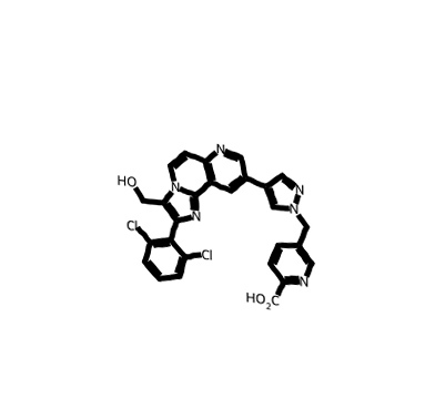 O=C(O)c1ccc(Cn2cc(-c3cnc4ccn5c(CO)c(-c6c(Cl)cccc6Cl)nc5c4c3)cn2)cn1